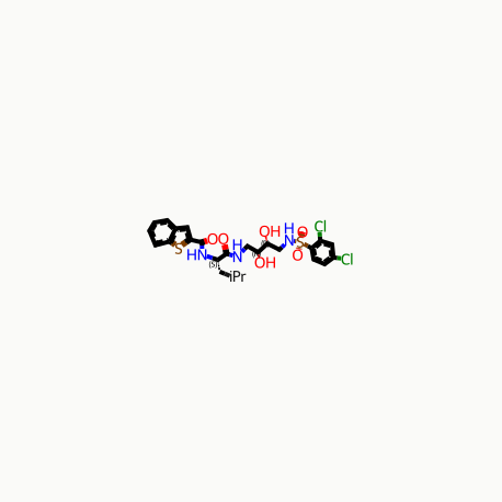 CC(C)C[C@H](NC(=O)c1cc2ccccc2s1)C(=O)NC[C@@H](O)[C@H](O)CNS(=O)(=O)c1ccc(Cl)cc1Cl